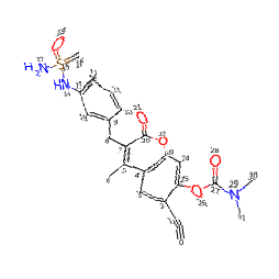 C#Cc1cc2c(C)c(Cc3cccc(NS(=C)(N)=O)c3)c(=O)oc2cc1OC(=O)N(C)C